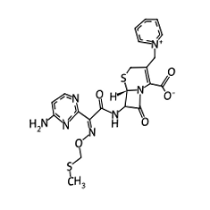 CSCON=C(C(=O)NC1C(=O)N2C(C(=O)[O-])=C(C[n+]3ccccc3)CS[C@@H]12)c1nccc(N)n1